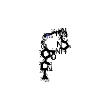 O=C1Nc2cccc(n2)-c2nncn2C/C=C/CCOc2ccc(-c3ccc(C4CC4)nc3)cc21